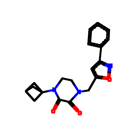 O=C1C(=O)N(C23CC(C2)C3)CCN1Cc1cc(-c2ccccc2)no1